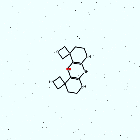 C1CC2(CNC2)C2=C(N1)NC1=C(C3(CCN1)COC3)C21CCO1